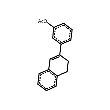 CC(=O)Oc1cccc(C2=[C]c3ccccc3CC2)c1